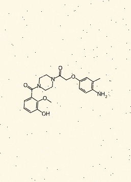 COc1c(O)cccc1C(=O)N1CCN(C(=O)COc2ccc(N)c(C)c2)CC1